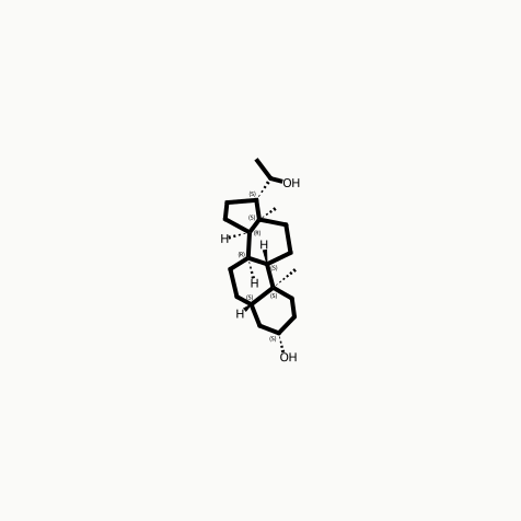 CC(O)[C@H]1CC[C@@H]2[C@@H]3CC[C@H]4C[C@@H](O)CC[C@]4(C)[C@H]3CC[C@]12C